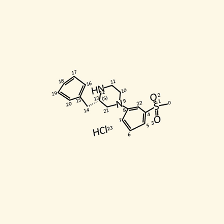 CS(=O)(=O)c1cccc(N2CCN[C@@H](Cc3ccccc3)C2)c1.Cl